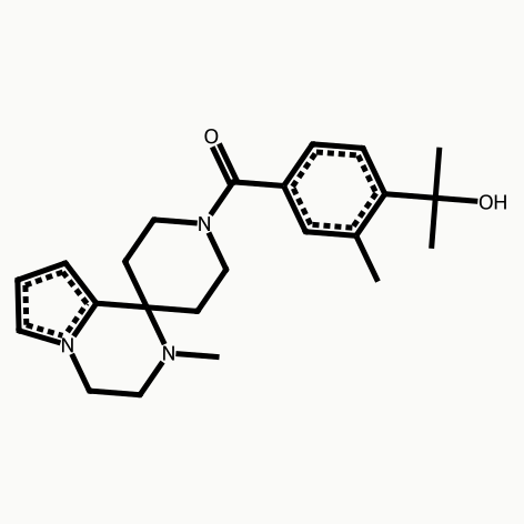 Cc1cc(C(=O)N2CCC3(CC2)c2cccn2CCN3C)ccc1C(C)(C)O